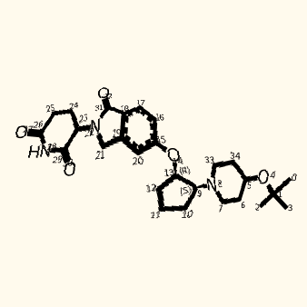 CC(C)(C)OC1CCN([C@H]2CCC[C@H]2Oc2ccc3c(c2)CN(C2CCC(=O)NC2=O)C3=O)CC1